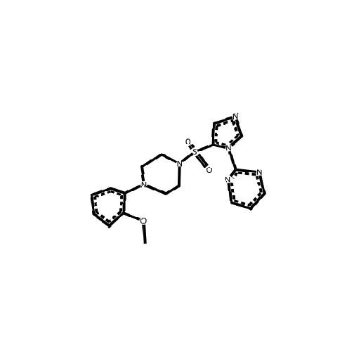 COc1ccccc1N1CCN(S(=O)(=O)c2cncn2-c2ncccn2)CC1